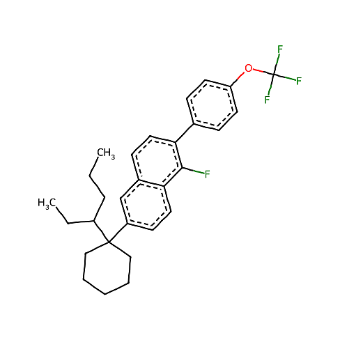 CCCC(CC)C1(c2ccc3c(F)c(-c4ccc(OC(F)(F)F)cc4)ccc3c2)CCCCC1